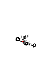 C[C@H](C(=O)NO)N(Cc1ccccc1)S(=O)(=O)c1ccc2nc(SCC3CCCCC3)sc2c1